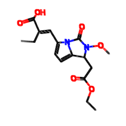 CCOC(=O)CC1c2ccc(/C=C(\CC)C(=O)O)n2C(=O)N1OC